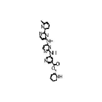 Cc1cccc(-c2nccc(Nc3ccnc(Nc4cncc(C(=O)OC[C@H]5CCCCN5)c4)n3)n2)n1